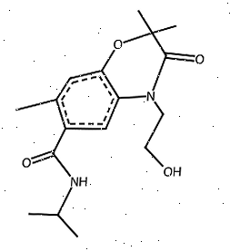 Cc1cc2c(cc1C(=O)NC(C)C)N(CCO)C(=O)C(C)(C)O2